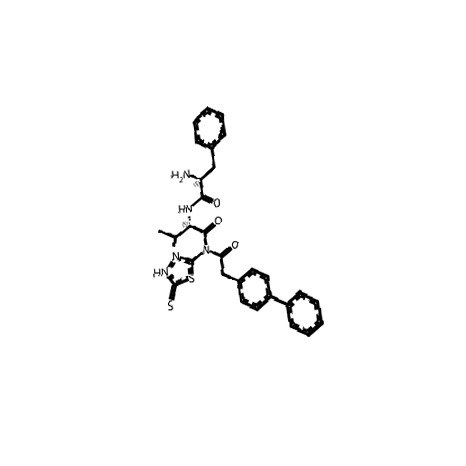 CC(C)[C@H](NC(=O)[C@@H](N)Cc1ccccc1)C(=O)N(C(=O)Cc1ccc(-c2ccccc2)cc1)c1n[nH]c(=S)s1